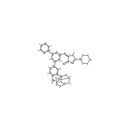 O=C1N=C(N2CCOCC2)SC1=Cc1cc(-c2ccccc2)cc(-c2ccc(O)c(C34CC5CC(CC(C5)C3)C4)c2)c1